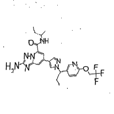 CCC(C)NC(=O)c1cc(-c2cnn(C(CC)c3ccc(OCC(F)(F)F)nc3)c2)cc2nc(N)nn12